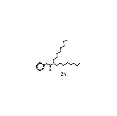 CCCCCCCCN(CCCCCCCC)C(=S)Sc1ccccc1.[Zn]